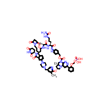 CC[C@@]12C[C@@H](Oc3ncc(CN4CCN(c5ccc6c(c5)C(=O)N([C@H]5CCC(=O)NC5=O)C6)CC4)cc3C)CN1c1cc(-c3ccccc3OCOP(=O)(O)O)nnc1N(C(=O)OCc1ccc(NC(=O)[C@H](CCCNC(N)=O)NC(=O)[C@@H](NC(=O)CCCCCN3C(=O)C=CC3=O)C(C)C)cc1)C2